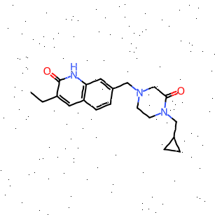 CCc1cc2ccc(CN3CCN(CC4CC4)C(=O)C3)cc2[nH]c1=O